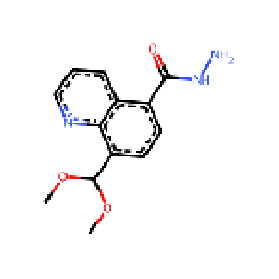 COC(OC)c1ccc(C(=O)NN)c2cccnc12